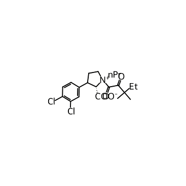 CCC[N+]1(C(=O)C(=O)C(C)(C)CC)CCC(c2ccc(Cl)c(Cl)c2)[C@H]1C(=O)[O-]